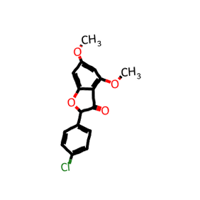 COc1cc(OC)c2c(c1)OC(c1ccc(Cl)cc1)C2=O